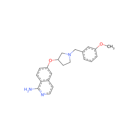 COc1cccc(CN2CCC(Oc3ccc4c(N)nccc4c3)C2)c1